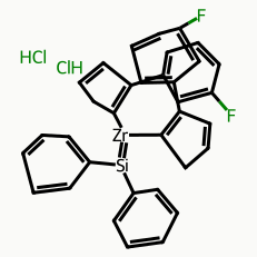 Cl.Cl.Fc1cccc(C2=[C]([Zr]([C]3=C(c4cccc(F)c4)C=CC3)=[Si](c3ccccc3)c3ccccc3)CC=C2)c1